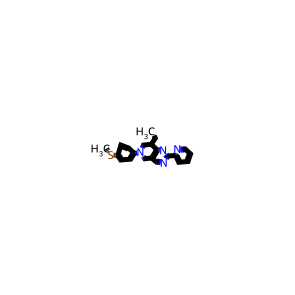 CCC1CN(c2ccc(SC)cc2)Cc2cnc(-c3ccccn3)nc21